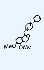 COc1ccc2c(c1OC)CCOC2CN1CCN(c2ccccc2)CC1